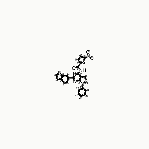 O=C(Nc1nc(-c2ccc3scnc3c2)nc2c1cnn2-c1ccccc1)c1ccc([N+](=O)[O-])s1